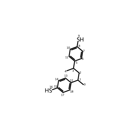 CC(CC(C)c1ccc(S)cc1)c1ccc(S)cc1